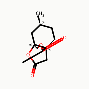 C[C@H]1CC[C@@]23CC(=O)O[C@@]2(COC3=O)C1